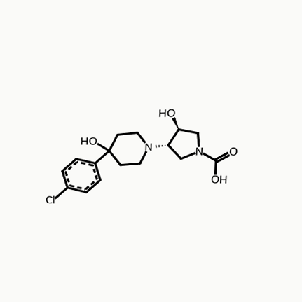 O=C(O)N1C[C@H](O)[C@@H](N2CCC(O)(c3ccc(Cl)cc3)CC2)C1